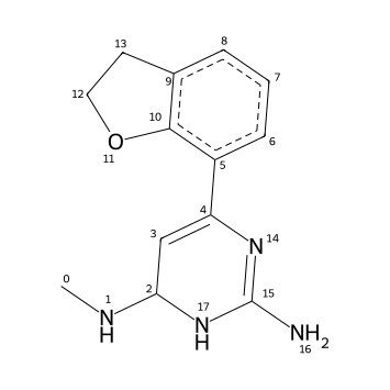 CNC1C=C(c2cccc3c2OCC3)N=C(N)N1